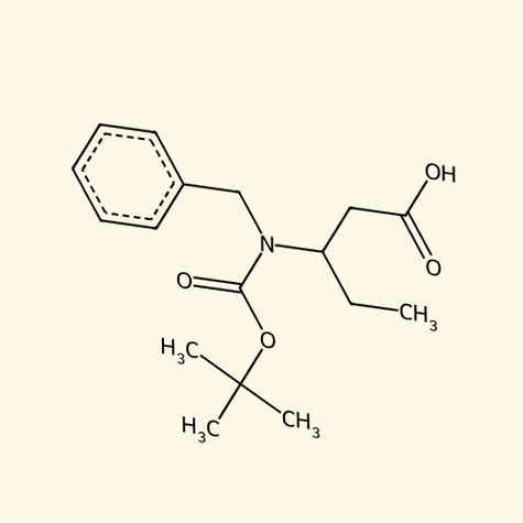 CCC(CC(=O)O)N(Cc1ccccc1)C(=O)OC(C)(C)C